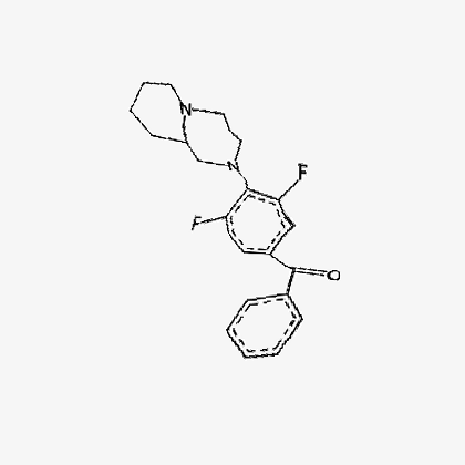 O=C(c1ccccc1)c1cc(F)c(N2CCN3CCCCC3C2)c(F)c1